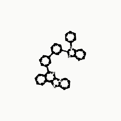 c1ccc(-n2c(-c3cccc(-c4cccc(-c5nc6c(nc7ccccn76)c6ccccc56)c4)c3)nc3ccccc32)cc1